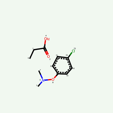 CCC(=O)O.CN(C)Oc1ccc(Cl)cc1